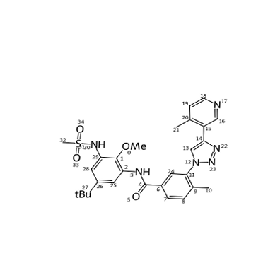 COc1c(NC(=O)c2ccc(C)c(-n3cc(-c4cnccc4C)nn3)c2)cc(C(C)(C)C)cc1NS(C)(=O)=O